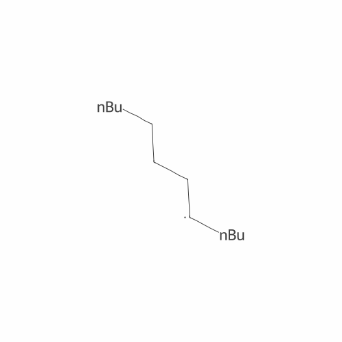 CCCC[CH]CCCCCCC